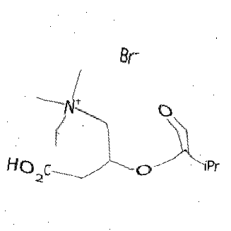 CC(C)C(=O)OC(CC(=O)O)C[N+](C)(C)C.[Br-]